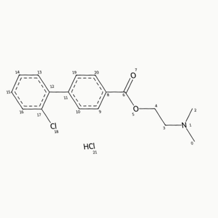 CN(C)CCOC(=O)c1ccc(-c2ccccc2Cl)cc1.Cl